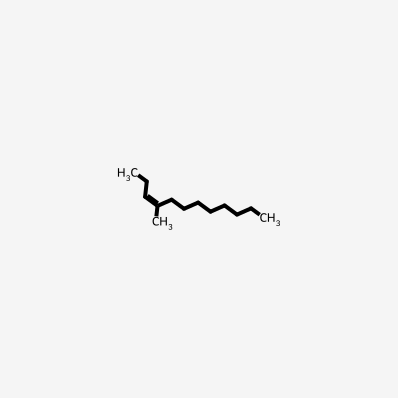 CCC=C(C)CCCCCCCC